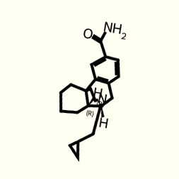 NC(=O)c1ccc2c(c1)C13CCCC[C@H]1[C@@H](C2)N(CC1CC1)CC3